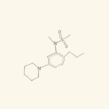 CCCc1ccc(N2CCCCC2)cc1N(C)S(C)(=O)=O